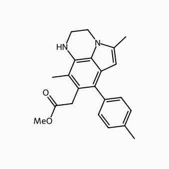 COC(=O)Cc1c(C)c2c3c(cc(C)n3CCN2)c1-c1ccc(C)cc1